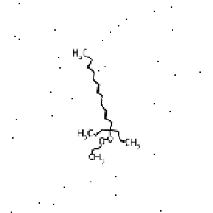 CCCCCCCCCCCCC(CCC)(CCC)OOCCC